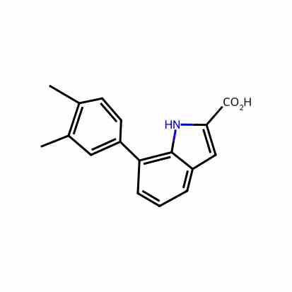 Cc1ccc(-c2cccc3cc(C(=O)O)[nH]c23)cc1C